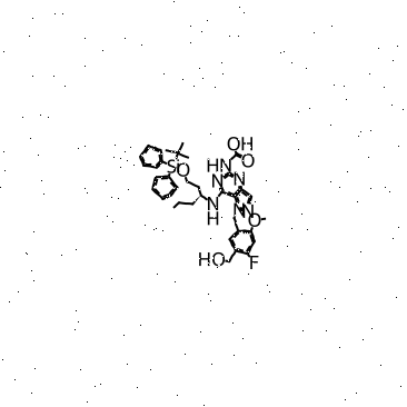 CCC[C@@H](CCO[Si](c1ccccc1)(c1ccccc1)C(C)(C)C)Nc1nc(NC(=O)O)nc2cnn(Cc3cc(CO)c(F)cc3OC)c12